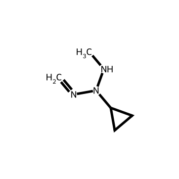 C=NN(NC)C1CC1